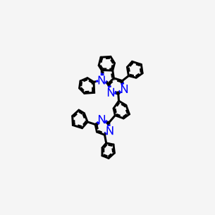 c1ccc(-c2cc(-c3ccccc3)nc(-c3cccc(-c4nc(-c5ccccc5)c5c6ccccc6n(-c6ccccc6)c5n4)c3)n2)cc1